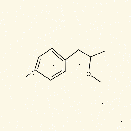 COC(C)Cc1ccc(C)cc1